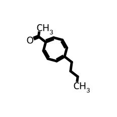 CCCCC1=C/C=C\C(C(C)=O)=C/C=C\1